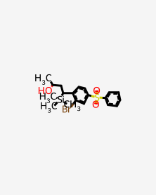 CC(O)CC(c1ccc(S(=O)(=O)c2ccccc2)cc1Br)[Si](C)(C)C